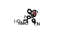 CCN(c1ccccc1C1CCOCC1)c1cc(F)c(C(COC)CC(=O)O)cc1N(c1ccccc1)c1ccc(C#N)cc1